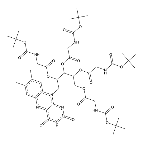 Cc1cc2nc3c(=O)[nH]c(=O)nc-3n(CC(OC(=O)CNC(=O)OC(C)(C)C)C(OC(=O)CNC(=O)OC(C)(C)C)C(COC(=O)CNC(=O)OC(C)(C)C)OC(=O)CNC(=O)OC(C)(C)C)c2cc1C